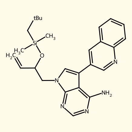 C=CC(Cn1cc(-c2cnc3ccccc3c2)c2c(N)ncnc21)O[Si](C)(C)CC(C)(C)C